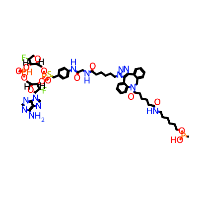 CP(O)OCCCCCCNC(=O)CCCCC(=O)N1Cc2ccccc2-c2nnn(CCCCCC(=O)NCC(=O)Nc3ccc(CSP4(=O)OC[C@H]5OC[C@H](F)[C@@H]5O[PH](=O)OC[C@H]5O[C@@H](n6cnc7c(N)ncnc76)[C@H](F)[C@@H]5O4)cc3)c2-c2ccccc21